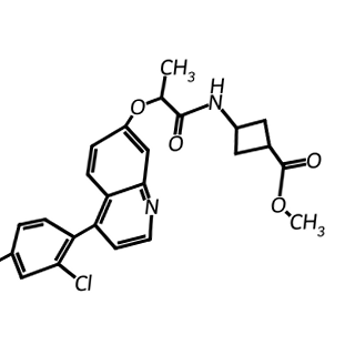 COC(=O)C1CC(NC(=O)C(C)Oc2ccc3c(-c4ccc(F)cc4Cl)ccnc3c2)C1